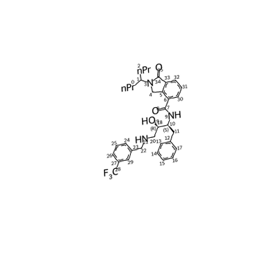 CCCC(CCC)N1Cc2c(C(=O)N[C@@H](Cc3ccccc3)[C@H](O)CNCc3cccc(C(F)(F)F)c3)cccc2C1=O